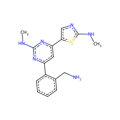 CNc1nc(-c2cnc(NC)s2)cc(-c2ccccc2CN)n1